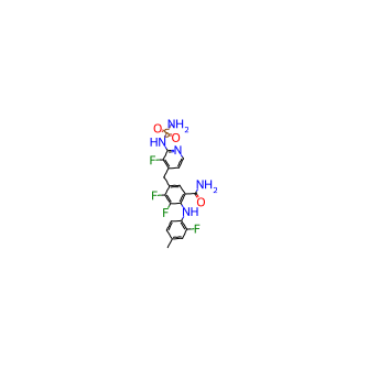 Cc1ccc(Nc2c(C(N)=O)cc(Cc3ccnc(NS(N)(=O)=O)c3F)c(F)c2F)c(F)c1